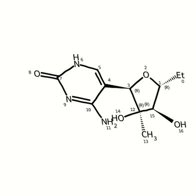 [CH2]C[C@H]1O[C@H](c2c[nH]c(=O)nc2N)[C@](C)(O)[C@@H]1O